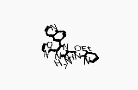 CCc1cccnc1NC(=O)c1nc(-c2ccc3ncccc3c2)c(-c2ncco2)nc1N